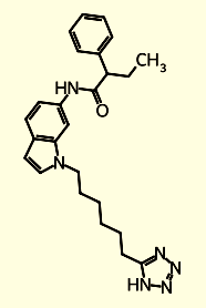 CCC(C(=O)Nc1ccc2ccn(CCCCCCc3nnn[nH]3)c2c1)c1ccccc1